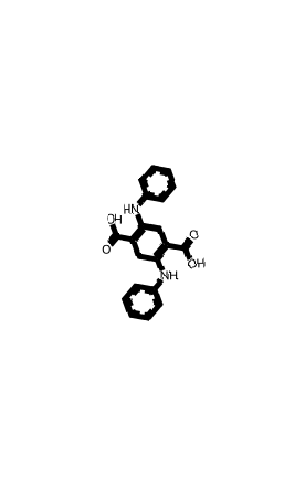 O=C(O)C1=C(Nc2ccccc2)CC(C(=O)O)=C(Nc2ccccc2)C1